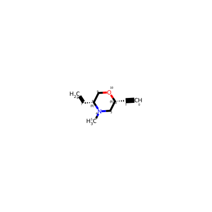 C#C[C@@H]1CN(C)[C@H](C=C)CO1